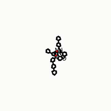 C1=CC2C(c3ccccc3N2c2cccc(-c3ccc(-c4ccccc4)cc3)c2)c2c1oc1cccc(-c3nc(-c4ccc(-c5ccccc5)cc4)nc(-c4cccc(-c5ccccc5)c4)n3)c21